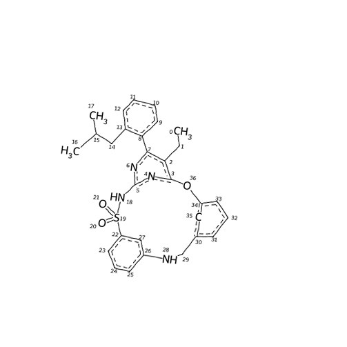 CCc1c2nc(nc1-c1ccccc1CC(C)C)NS(=O)(=O)c1cccc(c1)NCc1cccc(c1)O2